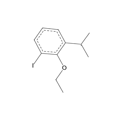 CCOc1c(I)cccc1[C](C)C